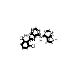 Clc1cccc(Cl)c1-c1nc2c(Nc3ncnc4[nH]ccc34)ncnc2[nH]1